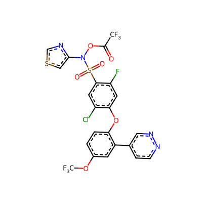 O=C(ON(c1cscn1)S(=O)(=O)c1cc(Cl)c(Oc2ccc(OC(F)(F)F)cc2-c2ccnnc2)cc1F)C(F)(F)F